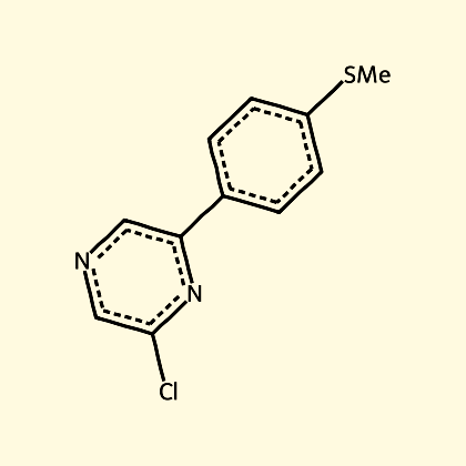 CSc1ccc(-c2cncc(Cl)n2)cc1